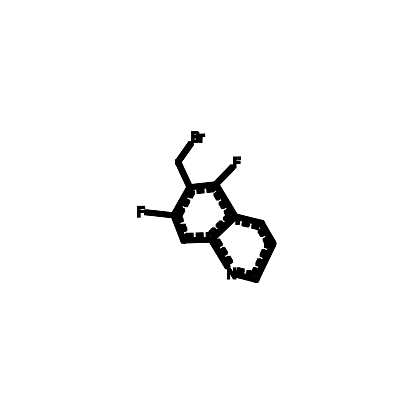 Fc1cc2ncccc2c(F)c1CBr